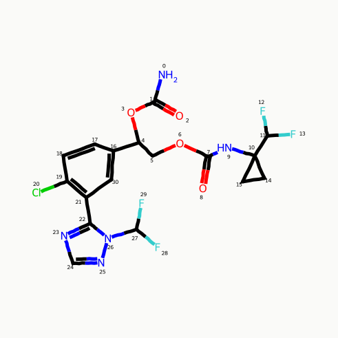 NC(=O)OC(COC(=O)NC1(C(F)F)CC1)c1ccc(Cl)c(-c2ncnn2C(F)F)c1